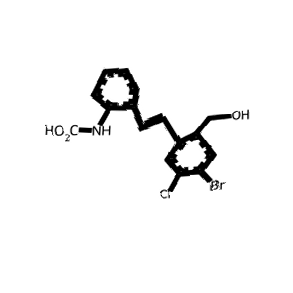 O=C(O)Nc1ccccc1C=Cc1cc(Cl)c(Br)cc1CO